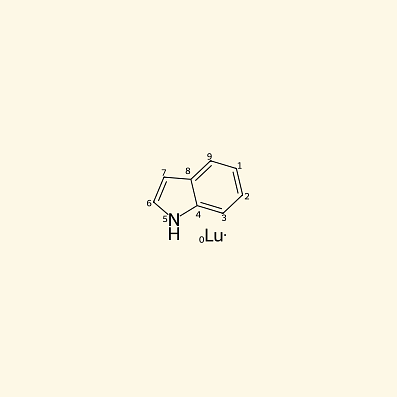 [Lu].c1ccc2[nH]ccc2c1